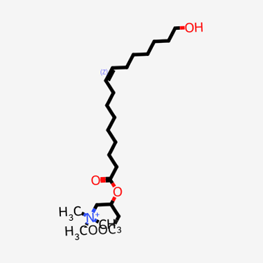 C[N+](C)(C)CC(CC(=O)[O-])OC(=O)CCCCCCC/C=C\CCCCCCO